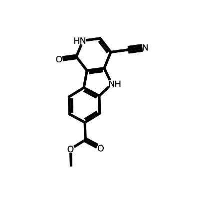 COC(=O)c1ccc2c(c1)[nH]c1c(C#N)c[nH]c(=O)c12